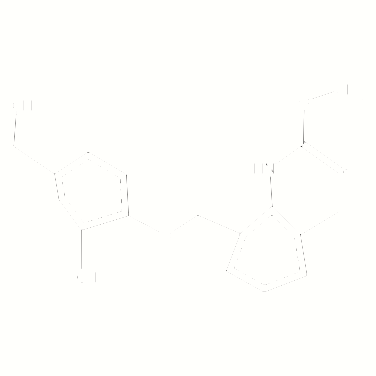 CCc1ccc(OCc2cccc(I)c2NC(=S)OC)c(C)c1